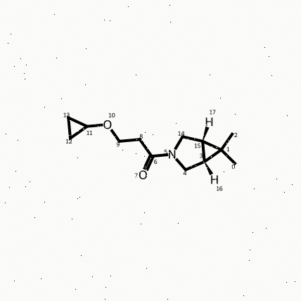 CC1(C)[C@@H]2CN(C(=O)CCOC3CC3)C[C@@H]21